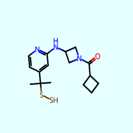 CC(C)(SS)c1ccnc(NC2CN(C(=O)C3CCC3)C2)c1